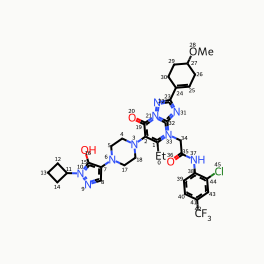 CCc1c(N2CCN(c3cnn(C4CCC4)c3O)CC2)c(=O)n2nc(C3=CCC(OC)CC3)nc2n1CC(=O)Nc1ccc(C(F)(F)F)cc1Cl